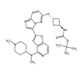 CN1CCC(N(C)c2nccc3oc(-c4cnc5ccc(O[C@H]6C[C@H](NC(=O)OC(C)(C)C)C6)nn45)cc23)CC1